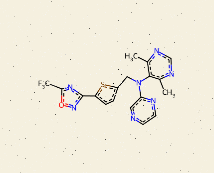 Cc1ncnc(C)c1N(Cc1ccc(-c2noc(C(F)(F)F)n2)s1)c1cnccn1